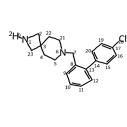 [2H]N1CC2(CCN(Cc3ccccc3-c3ccc(Cl)cc3)CC2)C1